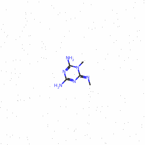 C/N=c1\nc(N)nc(N)n1C